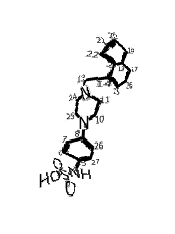 O=S(=O)(O)Nc1ccc(N2CCN(Cc3cccc4ccccc34)CC2)cc1